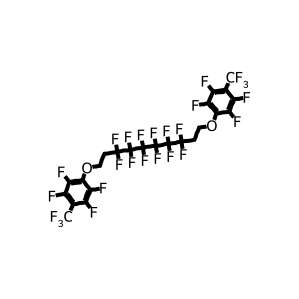 Fc1c(F)c(C(F)(F)F)c(F)c(F)c1OCCC(F)(F)C(F)(F)C(F)(F)C(F)(F)C(F)(F)C(F)(F)CCOc1c(F)c(F)c(C(F)(F)F)c(F)c1F